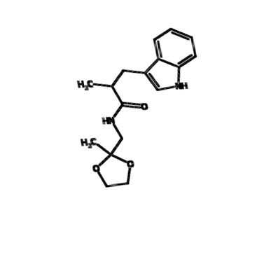 CC(Cc1c[nH]c2ccccc12)C(=O)NCC1(C)OCCO1